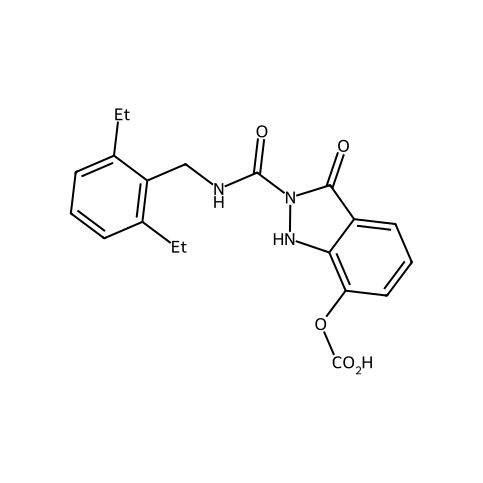 CCc1cccc(CC)c1CNC(=O)n1[nH]c2c(OC(=O)O)cccc2c1=O